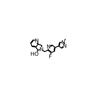 Cn1cc(-c2cnc(CN3Cc4ncccc4C3O)c(F)c2)cn1